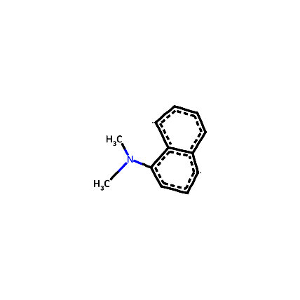 CN(C)c1cc[c]c2ccc[c]c12